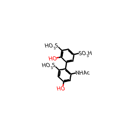 CC(=O)Nc1cc(O)cc(S(=O)(=O)O)c1-c1cc(S(=O)(=O)O)cc(S(=O)(=O)O)c1O